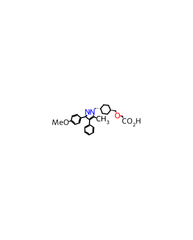 COc1ccc(-c2nn(C[C@H]3CC[C@H](COCC(=O)O)CC3)c(C)c2-c2ccccc2)cc1